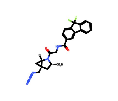 [N-]=[N+]=NC[C@@]12C[C@@H]1N(C(=O)CNC(=O)c1ccc3c(c1)-c1ccccc1C3(F)F)[C@H](C(=O)O)C2